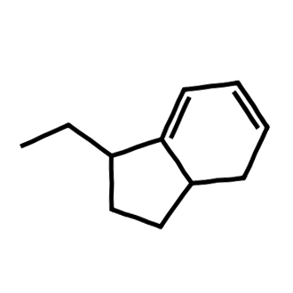 CCC1CCC2CC=CC=C12